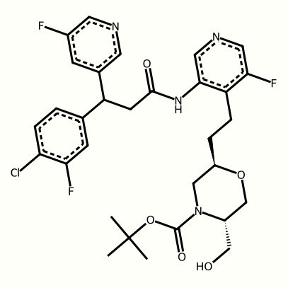 CC(C)(C)OC(=O)N1C[C@@H](CCc2c(F)cncc2NC(=O)CC(c2cncc(F)c2)c2ccc(Cl)c(F)c2)OC[C@@H]1CO